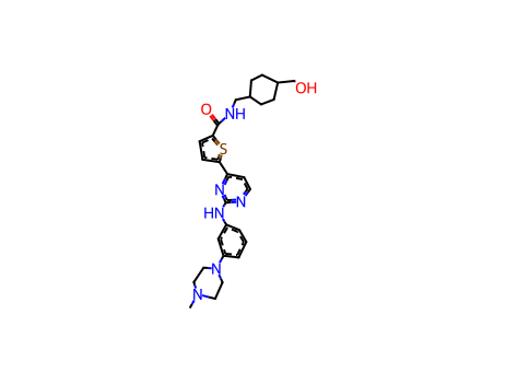 CN1CCN(c2cccc(Nc3nccc(-c4ccc(C(=O)NCC5CCC(CO)CC5)s4)n3)c2)CC1